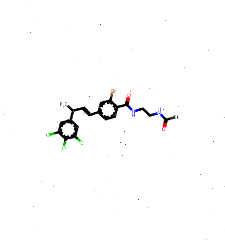 CCC(=O)NCCNC(=O)c1ccc(/C=C/C(c2cc(Cl)c(Cl)c(Cl)c2)C(F)(F)F)cc1Br